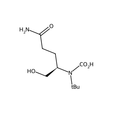 CC(C)(C)N(C(=O)O)[C@@H](CO)CCC(N)=O